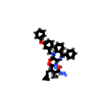 CCC[C@H](C(N)=O)[C@@H](CC1CC1)C(=O)NC1N=C(c2ccccc2)c2ccccc2N(Cc2cccc(Oc3ccccc3)c2)C1=O